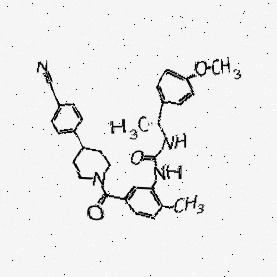 COc1ccc([C@@H](C)NC(=O)Nc2cc(C(=O)N3CCC(c4ccc(C#N)cc4)CC3)ccc2C)cc1